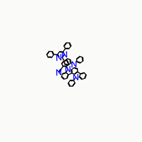 N#Cc1cc(-c2nc(-c3ccccc3)cc(-c3ccccc3)n2)ccc1-n1c2ccccc2c2c1c(N(c1ccccc1)c1ccccc1)cc1c3ccccc3n(-c3ccccc3)c12